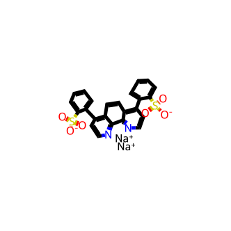 O=S(=O)([O-])c1ccccc1-c1ccnc2c1ccc1c(-c3ccccc3S(=O)(=O)[O-])ccnc12.[Na+].[Na+]